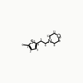 Cc1ccc(CCN2CCOCC2)s1